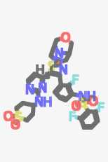 CN1CC2COCC(C1)N2c1nc(-c2cccc(NS(=O)(=O)c3c(F)cccc3F)c2F)c(-c2ccnc(NC3CCS(=O)(=O)CC3)n2)s1